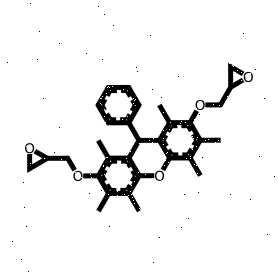 Cc1c(C)c2c(c(C)c1OCC1CO1)C(c1ccccc1)c1c(C)c(OCC3CO3)c(C)c(C)c1O2